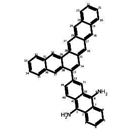 Nc1c2ccccc2c(N)c2cc(-c3cc4cc5cc6ccccc6cc5cc4c4cc5ccccc5cc34)ccc12